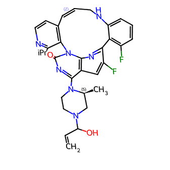 C=CC(O)N1CCN(c2nc(=O)n3c4nc(c(F)cc24)-c2c(F)cccc2NC/C=C\c2ccnc(C(C)C)c2-3)[C@@H](C)C1